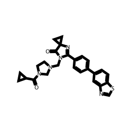 O=C(C1CC1)N1CCN(CN2C(=O)C3(CC3)N=C2c2ccc(-c3ccc4scnc4c3)cc2)C1